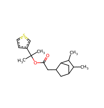 CC1C2CC(CC(=O)OC(C)(C)c3ccsc3)C(C2)C1C